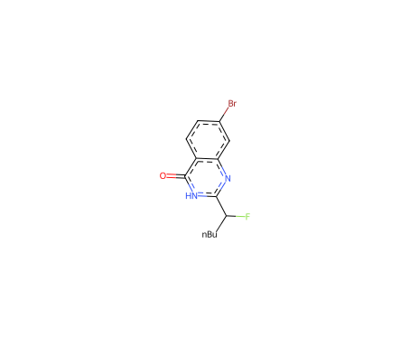 CCCCC(F)c1nc2cc(Br)ccc2c(=O)[nH]1